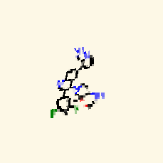 N=Cc1ncccc1-c1ccc2ncc(-c3cc(F)cc(F)c3)c(N3CCC4NCCO[C@@H]4C3)c2c1